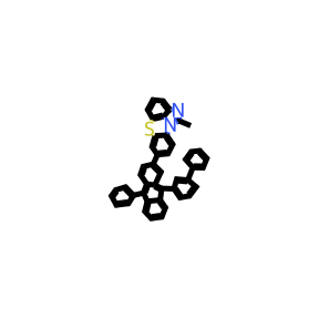 Cc1nc2cccc3c2n1-c1ccc(-c2ccc4c(-c5ccccc5)c5ccccc5c(-c5cccc(-c6ccccc6)c5)c4c2)cc1S3